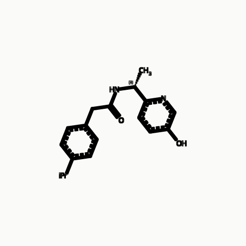 CC(C)c1ccc(CC(=O)N[C@H](C)c2ccc(O)cn2)cc1